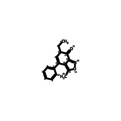 CCC1C=C(c2ccccc2)c2c(noc2C)C1=O